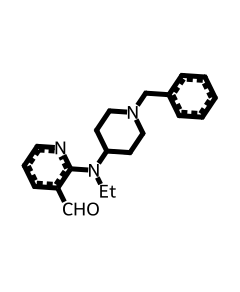 CCN(c1ncccc1C=O)C1CCN(Cc2ccccc2)CC1